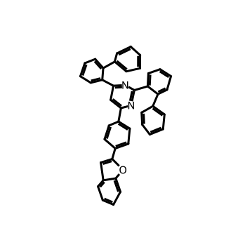 c1ccc(-c2ccccc2-c2cc(-c3ccc(-c4cc5ccccc5o4)cc3)nc(-c3ccccc3-c3ccccc3)n2)cc1